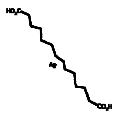 O=C(O)CCCCCCCCCCCCC(=O)O.[Ag]